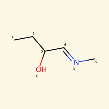 CCC(O)C=NC